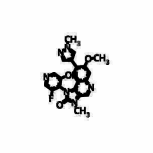 COc1cc2ncc3c(c2cc1-c1cnn(C)c1)n(-c1c(O)cncc1F)c(=O)n3C